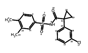 Cc1ccc(S(=O)(=O)NC(=O)C2(c3cccc(Cl)c3)CC2)cc1C